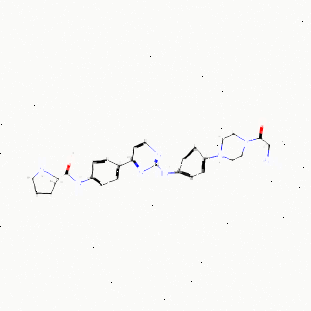 C[C@H](N)C(=O)N1CCN(c2ccc(Nc3nccc(-c4ccc(NC(=O)[C@H]5CCCN5)cc4)n3)cc2)CC1